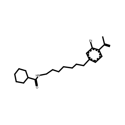 C=C(C)c1ccc(CCCCCCCNC(=O)C2CCCCC2)cc1CC